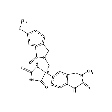 COc1ccc2c(c1)C(=O)N(C[C@@]1(c3ccc4c(c3)CN(C)C(=O)N4)NC(=O)NC1=O)C2